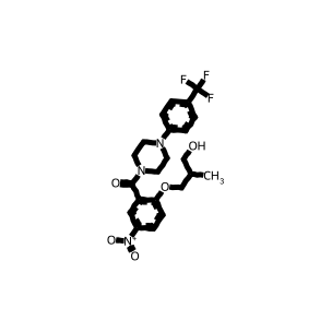 CC(CO)COc1ccc([N+](=O)[O-])cc1C(=O)N1CCN(c2ccc(C(F)(F)F)cc2)CC1